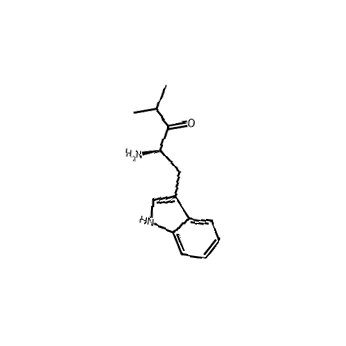 CC(C)C(=O)[C@H](N)Cc1c[nH]c2ccccc12